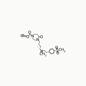 CN(CCCCN1CCN(C(=O)OC(C)(C)C)CCC1=O)CCc1ccc(S(C)(=O)=O)cc1